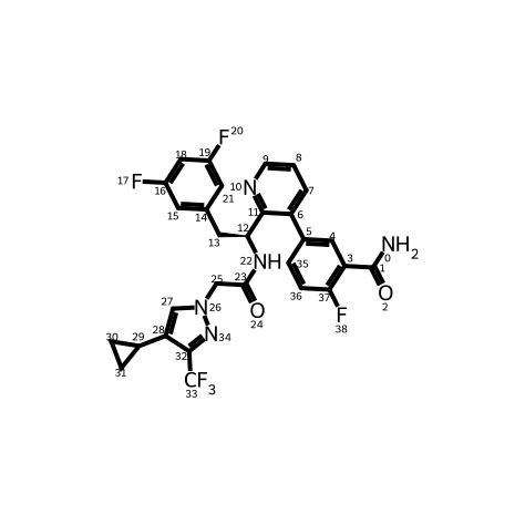 NC(=O)c1cc(-c2cccnc2[C@H](Cc2cc(F)cc(F)c2)NC(=O)Cn2cc(C3CC3)c(C(F)(F)F)n2)ccc1F